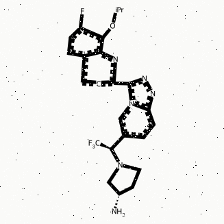 CC(C)Oc1c(F)ccc2ccc(-c3nnc4ccc([C@@H](N5CC[C@H](N)C5)C(F)(F)F)cn34)nc12